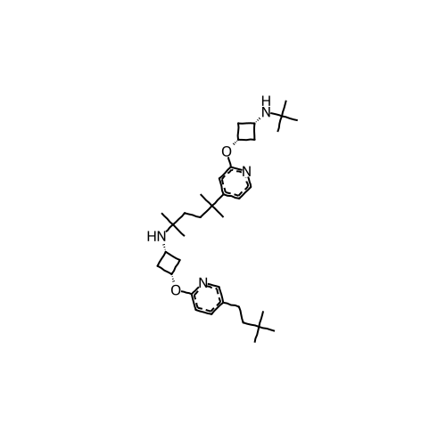 CC(C)(C)CCc1ccc(O[C@H]2C[C@@H](NC(C)(C)CCC(C)(C)c3ccnc(O[C@H]4C[C@@H](NC(C)(C)C)C4)c3)C2)nc1